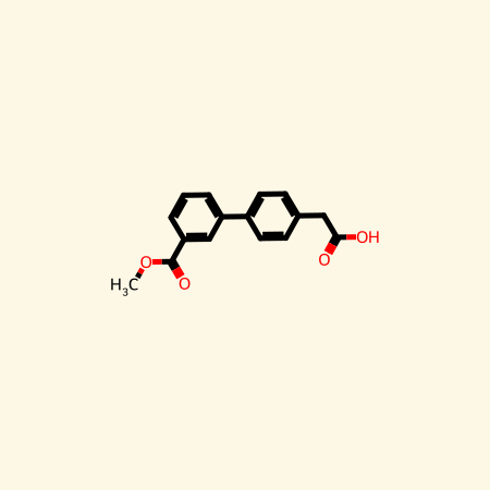 COC(=O)c1cccc(-c2ccc(CC(=O)O)cc2)c1